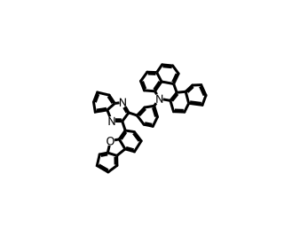 c1cc(-c2nc3ccccc3nc2-c2cccc3c2oc2ccccc23)cc(N2c3ccc4ccccc4c3-c3cccc4cccc2c34)c1